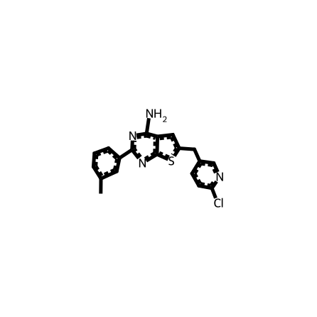 Cc1cccc(-c2nc(N)c3cc(Cc4ccc(Cl)nc4)sc3n2)c1